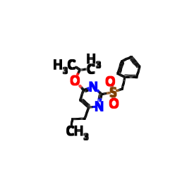 CCCc1cc(OC(C)C)nc(S(=O)(=O)Cc2ccccc2)n1